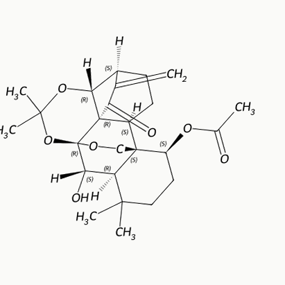 C=C1C(=O)[C@@]23[C@@H]4OC(C)(C)O[C@]25OC[C@]2([C@@H](OC(C)=O)CCC(C)(C)[C@H]2[C@@H]5O)[C@@H]3CC[C@@H]14